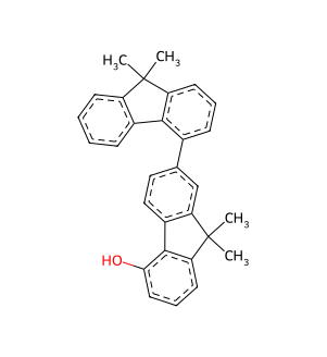 CC1(C)c2cc(-c3cccc4c3-c3ccccc3C4(C)C)ccc2-c2c(O)cccc21